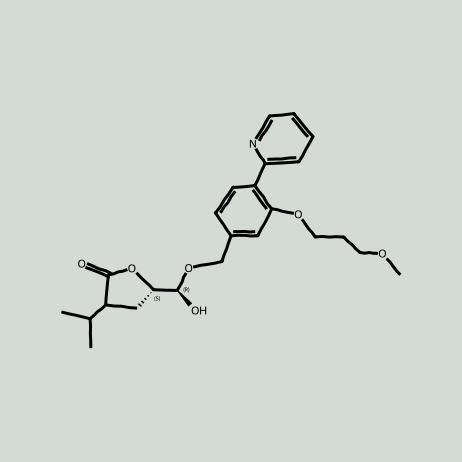 COCCCOc1cc(CO[C@@H](O)[C@@H]2CC(C(C)C)C(=O)O2)ccc1-c1ccccn1